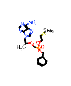 CSSCCOP(=O)(CO[C@H](C)Cn1cnc2c(N)ncnc21)OCc1ccccc1